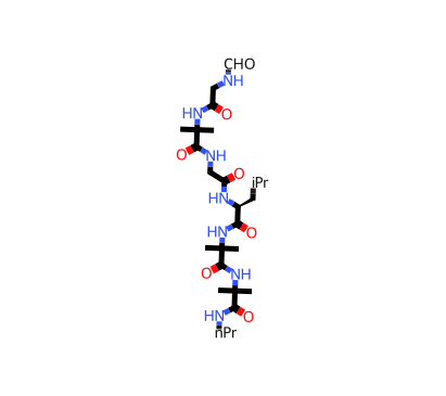 CCCNC(=O)C(C)(C)NC(=O)C(C)(C)NC(=O)[C@H](CC(C)C)NC(=O)CNC(=O)C(C)(C)NC(=O)CNC=O